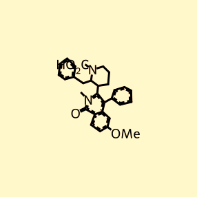 COc1ccc2c(=O)n(C)c(C3CCCN(C(=O)O)C3Cc3ccccc3)c(-c3ccccc3)c2c1